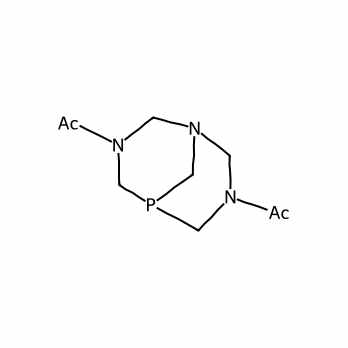 CC(=O)N1CN2CN(C(C)=O)CP(C2)C1